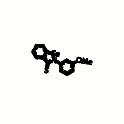 COc1cccc(-n2[se]c3ccccc3c2=S)c1